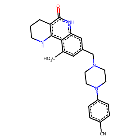 N#Cc1ccc(N2CCN(Cc3cc(C(=O)O)c4c5c(c(=O)[nH]c4c3)CCCN5)CC2)cc1